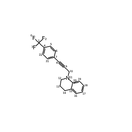 FC(F)(F)c1ccc(C#CCN2CCCc3ccccc32)cc1